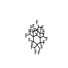 FCC1(C(F)F)C(F)(F)C2(C(F)F)C(F)(F)C(F)(C(F)F)C(F)(F)C(C(F)F)(C1(F)F)C2(F)F